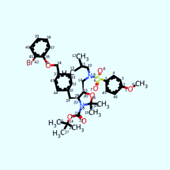 COc1ccc(S(=O)(=O)N(CC(C)C)C[C@H]2OC(C)(C)N(C(=O)OC(C)(C)C)[C@H]2Cc2ccc(COc3ccccc3Br)cc2)cc1